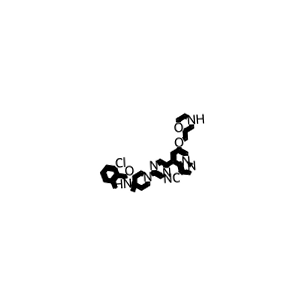 Cc1cccc(Cl)c1C(=O)NC1(C)CCN(c2cnc(-c3cc(OCC4CNCCO4)cn4ncc(C#N)c34)cn2)CC1